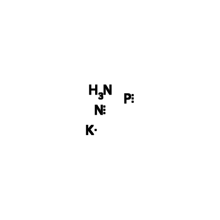 N.[K].[N].[P]